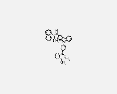 C=Cc1ccccc1/C(=C\C)c1ccc(-n2c3ccccc3c3cc4c(cc32)C(C)(c2ccccc2)C(c2ccccc2)N4)cc1